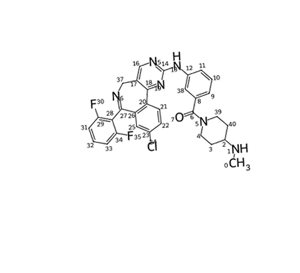 CNC1CCN(C(=O)c2cccc(Nc3ncc4c(n3)-c3ccc(Cl)cc3C(c3c(F)cccc3F)=NC4)c2)CC1